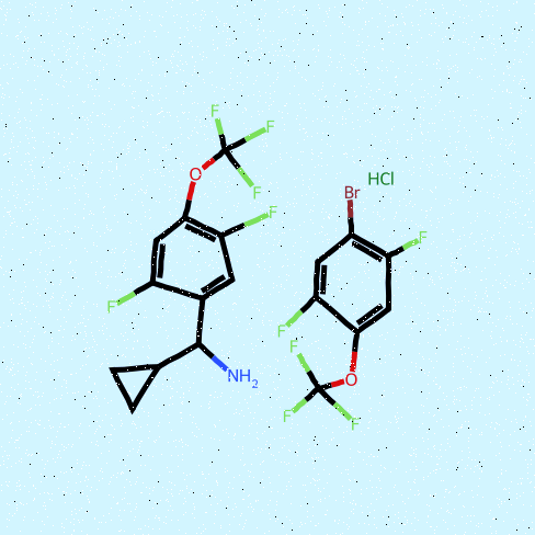 Cl.Fc1cc(OC(F)(F)F)c(F)cc1Br.NC(c1cc(F)c(OC(F)(F)F)cc1F)C1CC1